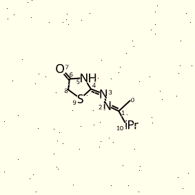 C/C(=N\N=C1\NC(=O)CS1)C(C)C